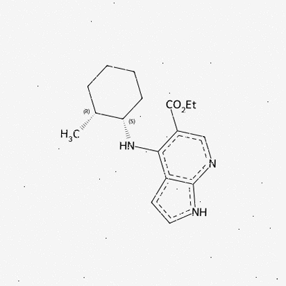 CCOC(=O)c1cnc2[nH]ccc2c1N[C@H]1CCCC[C@H]1C